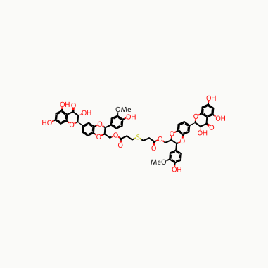 COc1cc(C2Oc3cc([C@H]4Oc5cc(O)cc(O)c5C(=O)[C@@H]4O)ccc3OC2COC(=O)CCSCCC(=O)OCC2Oc3ccc([C@H]4Oc5cc(O)cc(O)c5C(=O)[C@@H]4O)cc3OC2c2ccc(O)c(OC)c2)ccc1O